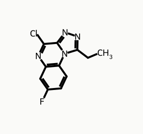 CCc1nnc2c(Cl)nc3cc(F)ccc3n12